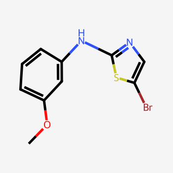 COc1cccc(Nc2ncc(Br)s2)c1